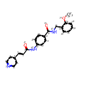 O=C(/C=C/c1ccncc1)Nc1ccc(C(=O)NCc2ccccc2OC(F)(F)F)cc1